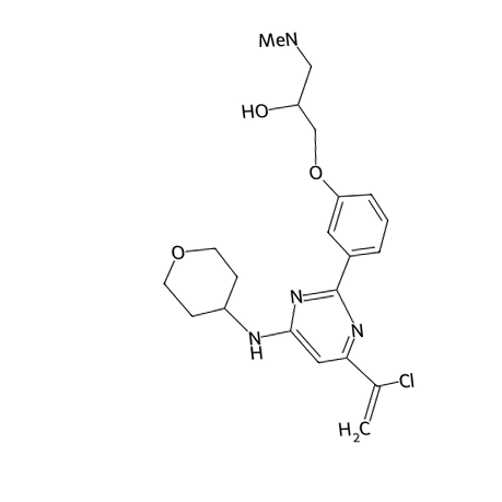 C=C(Cl)c1cc(NC2CCOCC2)nc(-c2cccc(OCC(O)CNC)c2)n1